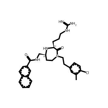 Cc1cc(CCN2CC[C@@H](CNC(=O)c3ccc4ccccc4c3)N[C@@H](CCCNC(=N)N)C2=O)ccc1Cl